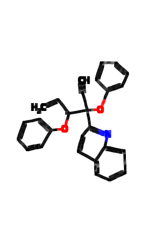 C#CC(Oc1ccccc1)([C](C=C)Oc1ccccc1)c1ccc2ccccc2n1